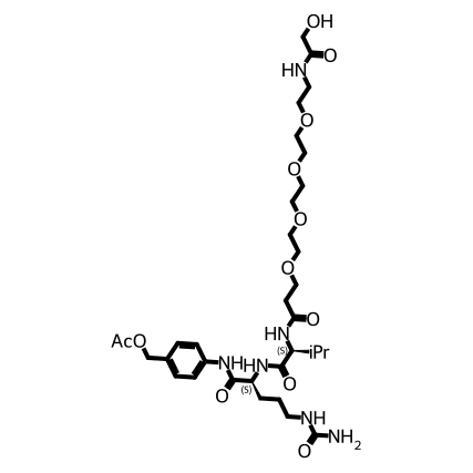 CC(=O)OCc1ccc(NC(=O)[C@H](CCCNC(N)=O)NC(=O)[C@@H](NC(=O)CCOCCOCCOCCOCCNC(=O)CO)C(C)C)cc1